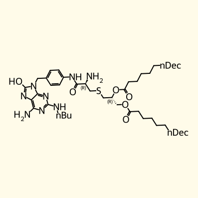 CCCCCCCCCCCCCCCC(=O)OC[C@H](CSC[C@H](N)C(=O)Nc1ccc(Cn2c(O)nc3c(N)nc(NCCCC)nc32)cc1)OC(=O)CCCCCCCCCCCCCCC